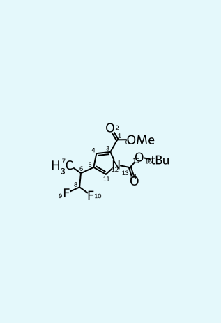 COC(=O)c1cc(C(C)C(F)F)cn1C(=O)OC(C)(C)C